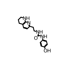 O=C(NCCc1ccc2c(n1)NCCC2)Nc1ccc(O)cc1